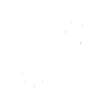 Fc1c(F)c(F)c(C2=CC3c4ccc5c6c(ccc(c46)C3S2)C2SC(c3c(F)c(F)c(F)c(F)c3F)=CC52)c(F)c1F